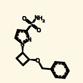 NS(=O)(=O)c1ccn([C@@H]2CC[C@@H]2OCc2ccccc2)n1